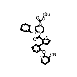 CC(C)(C)OC(=O)N1CCN(C(=O)c2sccc2-c2ccccc2Oc2ncccc2C#N)[C@H](Cc2ccccc2)C1